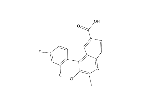 Cc1nc2ccc(C(=O)O)cc2c(-c2ccc(F)cc2Cl)c1Cl